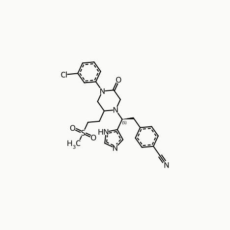 CS(=O)(=O)CCC1CN(c2cccc(Cl)c2)C(=O)CN1[C@@H](Cc1ccc(C#N)cc1)c1cnc[nH]1